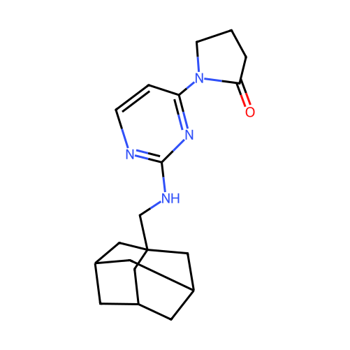 O=C1CCCN1c1ccnc(NCC23CC4CC(CC(C4)C2)C3)n1